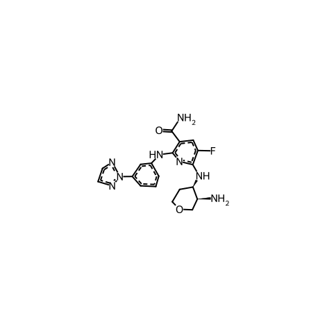 NC(=O)c1cc(F)c(N[C@@H]2CCOC[C@@H]2N)nc1Nc1cccc(-n2nccn2)c1